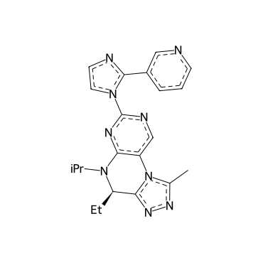 CC[C@@H]1c2nnc(C)n2-c2cnc(-n3ccnc3-c3cccnc3)nc2N1C(C)C